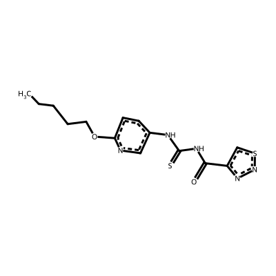 CCCCCOc1ccc(NC(=S)NC(=O)c2csnn2)cn1